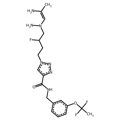 C/C(N)=C/N(N)CC(F)CCn1cc(C(=O)NCc2cccc(OC(C)(F)F)c2)nn1